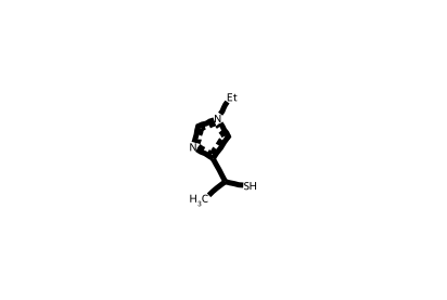 CCn1cnc(C(C)S)c1